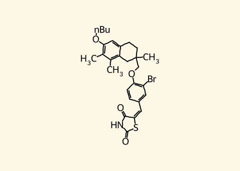 CCCCOc1cc2c(c(C)c1C)CC(C)(COc1ccc(C=C3SC(=O)NC3=O)cc1Br)CC2